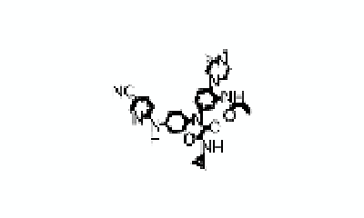 C=CC(=O)Nc1cc(N(C(=O)C(=O)NC2CC2)C2CCC(Nc3ccc(C#N)cn3)CC2)ccc1N1CCN(C)[C@@H](C)C1